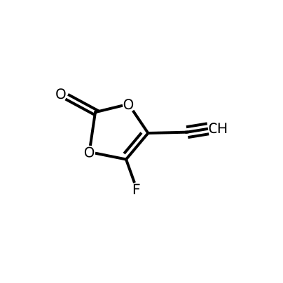 C#Cc1oc(=O)oc1F